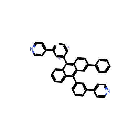 C=C(/C=C(\C=C/C)c1c2ccccc2c(-c2cccc(-c3ccncc3)c2)c2cc(-c3ccccc3)ccc12)c1ccncc1